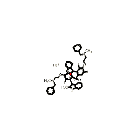 Cc1oc2ccccc2c1-c1c(C(=O)c2cc(I)c(OCCN(C)Cc3ccccc3)c(I)c2-c2c(C)oc3ccccc23)cc(I)c(OCCN(C)Cc2ccccc2)c1I.Cl